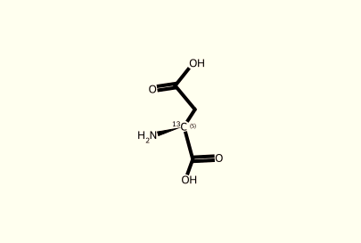 N[13C@@H](CC(=O)O)C(=O)O